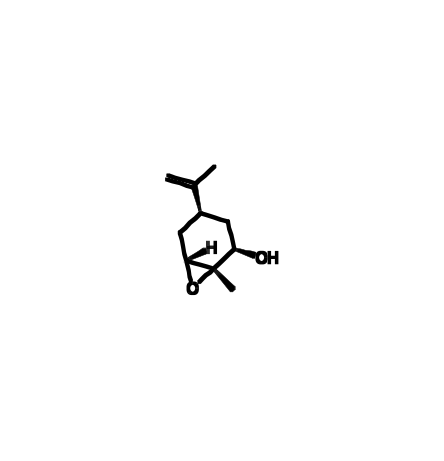 C=C(C)[C@H]1C[C@@H](O)[C@]2(C)O[C@@H]2C1